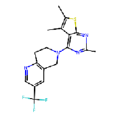 Cc1nc(N2CCc3ncc(C(F)(F)F)cc3C2)c2c(C)c(C)sc2n1